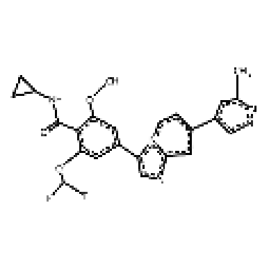 COc1cc(-c2cnc3cc(-c4cnnc(C)c4)ccn23)cc(OC(F)F)c1C(=O)NC1CC1